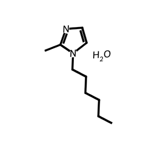 CCCCCCn1ccnc1C.O